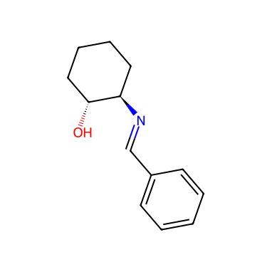 O[C@@H]1CCCC[C@H]1N=Cc1ccccc1